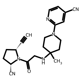 C#C[C@H]1CC[C@@H](C#N)N1C(=O)CNC1(C)CCN(c2cc(C#N)ccn2)CC1